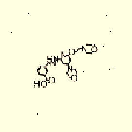 O=C(O)c1cccc(/C=N/Nc2cc(N3CCOCC3)cc(OCCN3CCOCC3)n2)c1